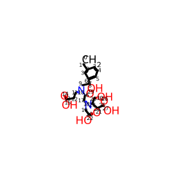 C=Cc1cccc(C(O)CN(CCC(=O)O)CCN(CC(=O)O)C(CC(=O)O)C(=O)O)c1